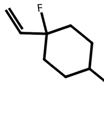 C=CC1(F)CCC(CC)CC1